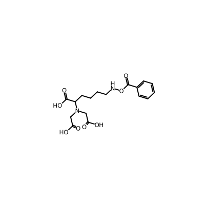 O=C(O)CN(CC(=O)O)C(CCCCNOC(=O)c1ccccc1)C(=O)O